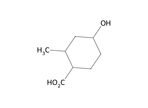 CC1CC(O)CCC1C(=O)O